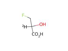 [2H]C(O)(CF)C(=O)O